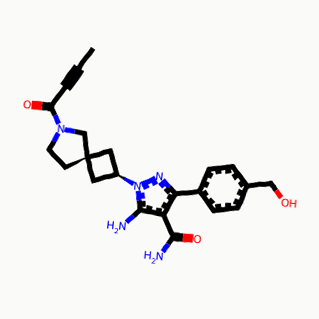 CC#CC(=O)N1CC[C@]2(C1)C[C@H](n1nc(-c3ccc(CO)cc3)c(C(N)=O)c1N)C2